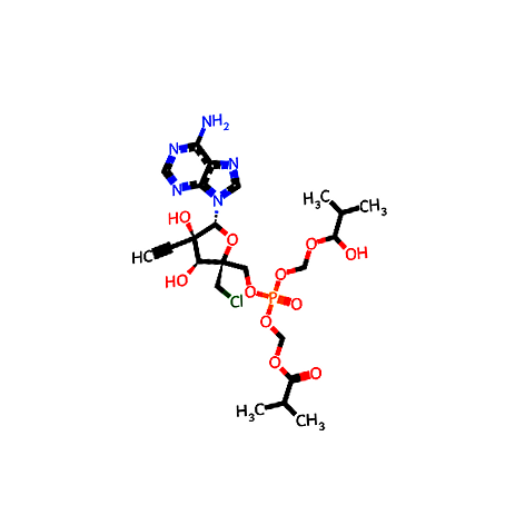 C#C[C@@]1(O)[C@H](O)[C@@](CCl)(COP(=O)(OCOC(=O)C(C)C)OCOC(O)C(C)C)O[C@H]1n1cnc2c(N)ncnc21